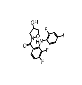 O=C(c1ccc(F)c(F)c1Nc1ccc(I)cc1F)N1CC(O)CO1